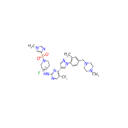 Cc1cc(CN2CCN(C)CC2)ccc1-n1cc(-c2nc(N[C@H]3CCN(S(=O)(=O)c4cn(C)cn4)C[C@H]3F)ncc2C(F)(F)F)cn1